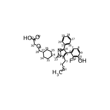 CSCCc1c(-c2cccc(O)c2F)c(-c2ccccc2)nn1C[C@H]1CC[C@H](COCC(=O)O)CC1